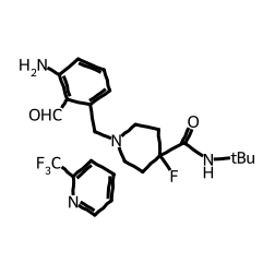 CC(C)(C)NC(=O)C1(F)CCN(Cc2cccc(N)c2C=O)CC1.FC(F)(F)c1ccccn1